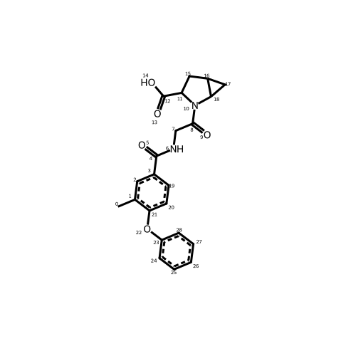 Cc1cc(C(=O)NCC(=O)N2C(C(=O)O)CC3CC32)ccc1Oc1ccccc1